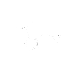 NC(=O)c1[c]cnn1CC1CC1